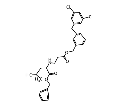 CC(C)C[C@H](NCCC(=O)OCc1cccc(Cc2cc(Cl)cc(Cl)c2)c1)C(=O)OCc1ccccc1